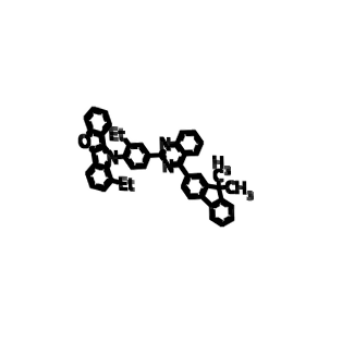 CCc1cc(-c2nc(-c3ccc4c(c3)C(C)(C)c3ccccc3-4)c3ccccc3n2)ccc1-n1c2c(CC)cccc2c2oc3ccccc3c21